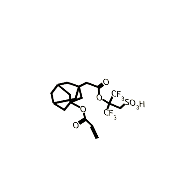 C=CC(=O)OC12CC3CC(CC(CC(=O)OC(CS(=O)(=O)O)(C(F)(F)F)C(F)(F)F)(C3)C1)C2